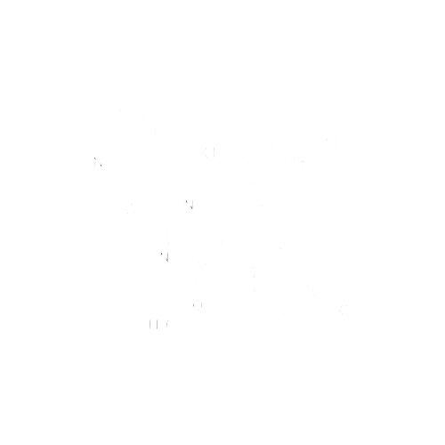 COc1nc(Oc2ccccn2)nc(-c2ccc(Cl)cc2Cl)c1-c1ccc(Cl)cc1